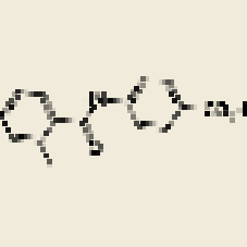 Cc1ccccc1C(=O)Nc1ccc(C(=O)O)cc1